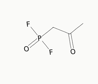 CC(=O)CP(=O)(F)F